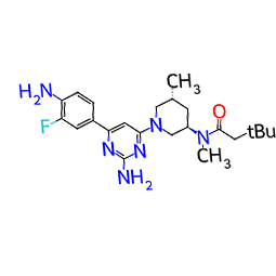 C[C@@H]1C[C@@H](N(C)C(=O)CC(C)(C)C)CN(c2cc(-c3ccc(N)c(F)c3)nc(N)n2)C1